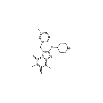 Cc1cccc(Cn2c(OC3CCNCC3)nc3c2c(=O)n(C)c(=O)n3C)c1